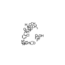 CC(C)(C)c1nc(C(=O)NCc2ccc(-c3ncnn4cc(N5CCOCC5)cc34)cc2Cl)no1.O=C(O)C(F)(F)F